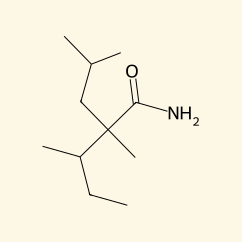 CCC(C)C(C)(CC(C)C)C(N)=O